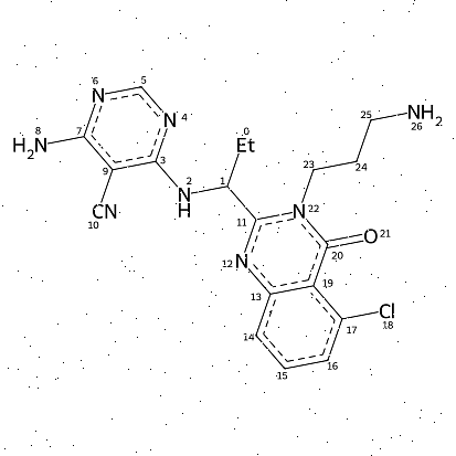 CCC(Nc1ncnc(N)c1C#N)c1nc2cccc(Cl)c2c(=O)n1CCCN